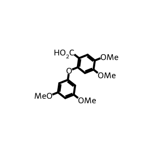 COc1cc(OC)cc(Oc2cc(OC)c(OC)cc2C(=O)O)c1